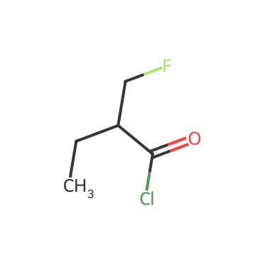 CCC(CF)C(=O)Cl